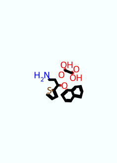 NCCC(Oc1cccc2ccccc12)c1cccs1.O=C(O)C(=O)O